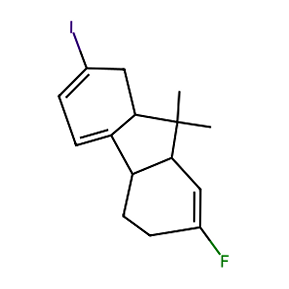 CC1(C)C2CC(I)=CC=C2C2CCC(F)=CC21